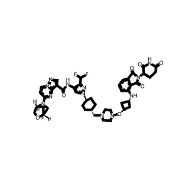 O=C1CCC(N2C(=O)c3cccc(N[C@H]4C[C@H](ON5CCN(C[C@H]6CC[C@H](n7cc(NC(=O)c8cnn9ccc(N%10C[C@H]%11C[C@@H]%10CO%11)nc89)c(C(F)F)n7)CC6)CC5)C4)c3C2=O)C(=O)N1